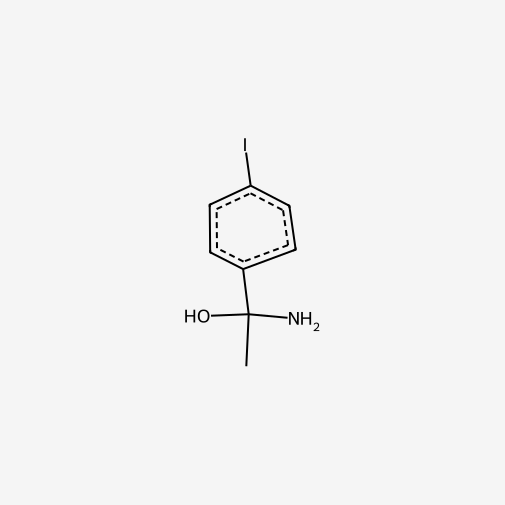 CC(N)(O)c1ccc(I)cc1